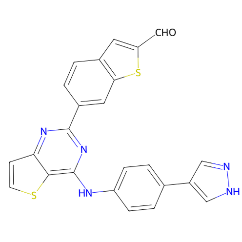 O=Cc1cc2ccc(-c3nc(Nc4ccc(-c5cn[nH]c5)cc4)c4sccc4n3)cc2s1